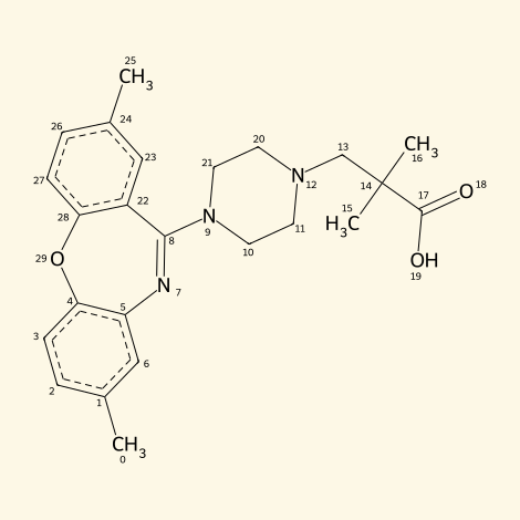 Cc1ccc2c(c1)N=C(N1CCN(CC(C)(C)C(=O)O)CC1)c1cc(C)ccc1O2